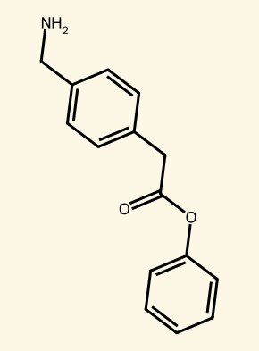 NCc1ccc(CC(=O)Oc2ccccc2)cc1